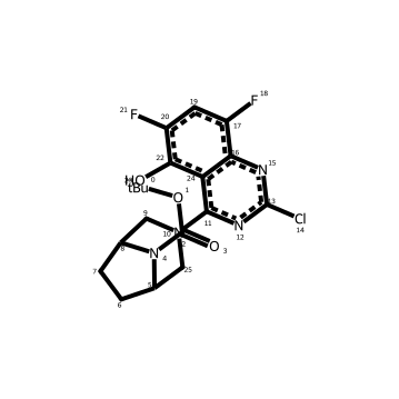 CC(C)(C)OC(=O)N1C2CCC1CN(c1nc(Cl)nc3c(F)cc(F)c(O)c13)C2